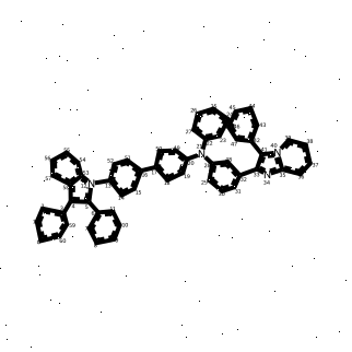 c1ccc(-c2c(-c3ccccc3)n(-c3ccc(-c4ccc(N(c5ccccc5)c5cccc(-c6nc7ccccn7c6-c6ccccc6)c5)cc4)cc3)c3ccccc23)cc1